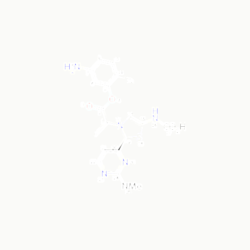 C=C(C(=O)Oc1cc(N)ccc1C)N1C=C(NC(=O)O)S[C@H]1c1ccnc(NC)n1